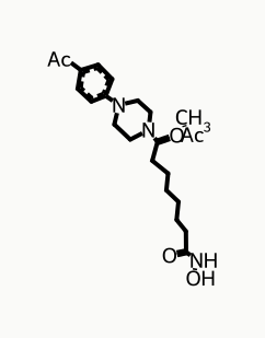 CC(=O)c1ccc(N2CCN(C(=O)CCCCCCC(=O)NO)CC2)cc1.CC(C)=O